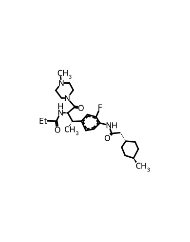 CCC(=O)N[C@@H](C(=O)N1CCN(C)CC1)[C@@H](C)c1ccc(NC(=O)C[C@H]2CC[C@H](C)CC2)c(F)c1